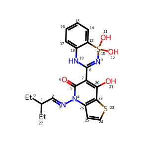 CCC(C=Nn1c(=O)c(C2=NS(O)(O)c3ccccc3N2)c(O)c2sccc21)CC